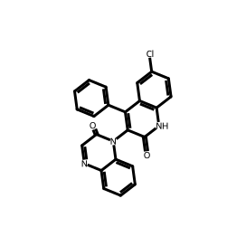 O=c1[nH]c2ccc(Cl)cc2c(-c2ccccc2)c1-n1c(=O)cnc2ccccc21